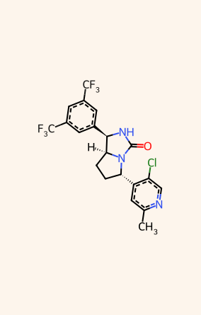 Cc1cc([C@@H]2CC[C@H]3[C@@H](c4cc(C(F)(F)F)cc(C(F)(F)F)c4)NC(=O)N23)c(Cl)cn1